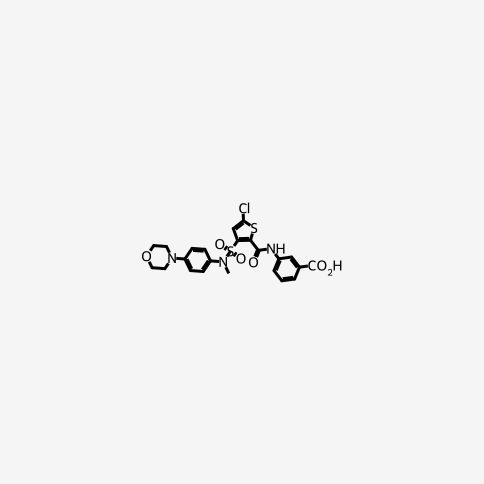 CN(c1ccc(N2CCOCC2)cc1)S(=O)(=O)c1cc(Cl)sc1C(=O)Nc1cccc(C(=O)O)c1